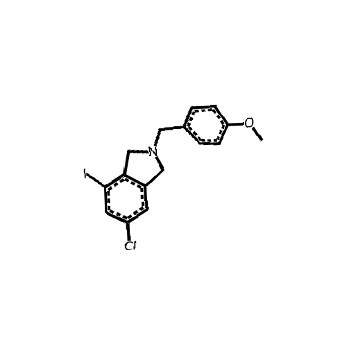 COc1ccc(CN2Cc3cc(Cl)cc(I)c3C2)cc1